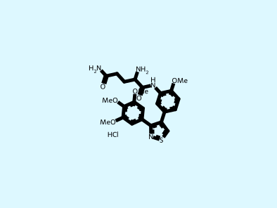 COc1ccc(-c2csnc2-c2cc(OC)c(OC)c(OC)c2)cc1NC(=O)C(N)CCC(N)=O.Cl